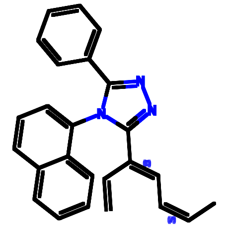 C=C/C(=C\C=C/C)c1nnc(-c2ccccc2)n1-c1cccc2ccccc12